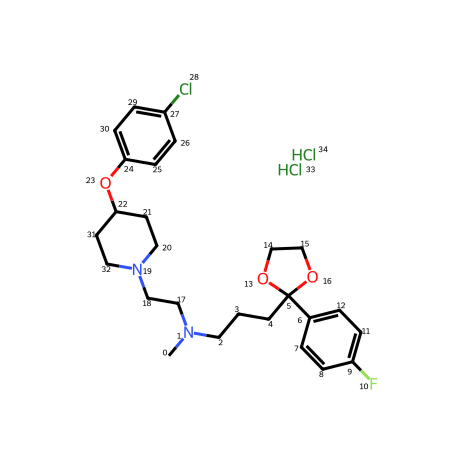 CN(CCCC1(c2ccc(F)cc2)OCCO1)CCN1CCC(Oc2ccc(Cl)cc2)CC1.Cl.Cl